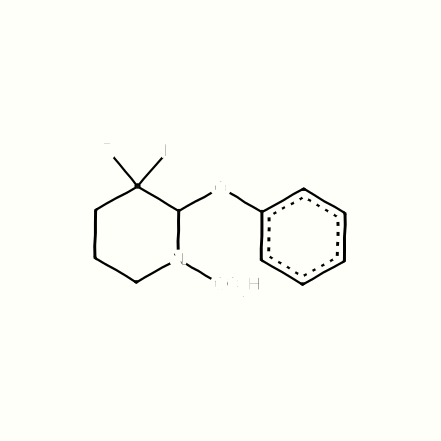 O=C(O)N1CCCC(F)(F)C1Oc1ccccc1